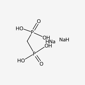 O=P(O)(O)CP(=O)(O)O.[NaH].[NaH]